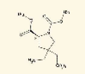 CC(C)(C)OC(=O)[C@@H]1CC(CN)(CC(=O)O)CN1C(=O)OC(C)(C)C